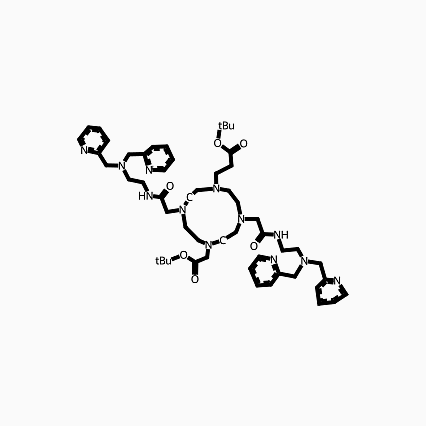 CC(C)(C)OC(=O)CCN1CCN(CC(=O)NCCN(Cc2ccccn2)Cc2ccccn2)CCN(CC(=O)OC(C)(C)C)CCN(CC(=O)NCCN(Cc2ccccn2)Cc2ccccn2)CC1